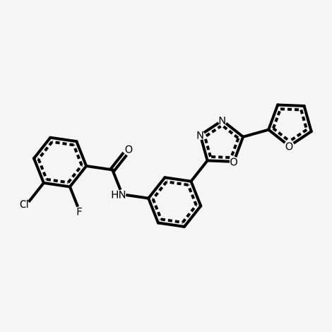 O=C(Nc1cccc(-c2nnc(-c3ccco3)o2)c1)c1cccc(Cl)c1F